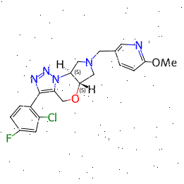 COc1ccc(CN2C[C@@H]3OCc4c(-c5ccc(F)cc5Cl)nnn4[C@H]3C2)cn1